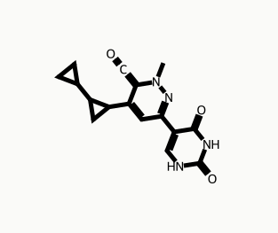 CN1N=C(c2c[nH]c(=O)[nH]c2=O)C=C(C2CC2C2CC2)C1=C=O